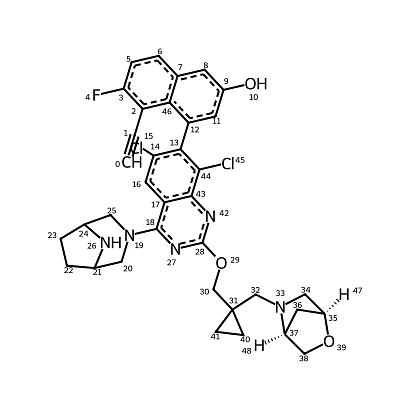 C#Cc1c(F)ccc2cc(O)cc(-c3c(Cl)cc4c(N5CC6CCC(C5)N6)nc(OCC5(CN6C[C@@H]7C[C@H]6CO7)CC5)nc4c3Cl)c12